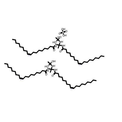 CCCCCCCC/C=C\CCCCCCCC(=O)NC(C)(NC(=O)CCCCCCC/C=C\CCCCCCCC)NC(C)(O)O.CCCCCCCC/C=C\CCCCCCCC(=O)NC(C)(NC(=O)CCCCCCC/C=C\CCCCCCCC)NC(C)(O)O.O=S(=O)(O)O